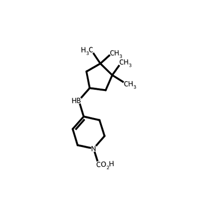 CC1(C)CC(BC2=CCN(C(=O)O)CC2)CC1(C)C